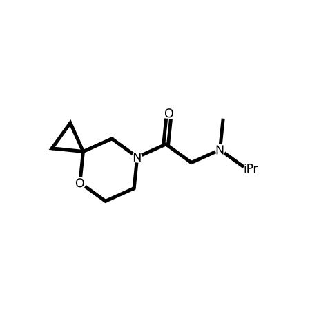 CC(C)N(C)CC(=O)N1CCOC2(CC2)C1